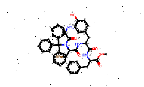 COC(=O)C(Cc1ccccc1)NC(=O)C(Cc1ccc(O)cc1)NC(=O)C(CS)N(C(=O)CN)C(c1ccccc1)(c1ccccc1)c1ccccc1